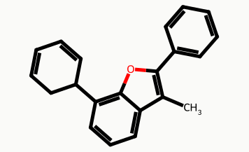 Cc1c(-c2ccccc2)oc2c(C3C=CC=CC3)cccc12